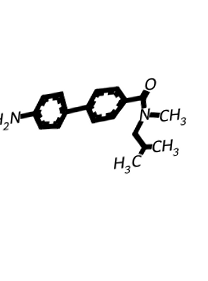 CC(C)CN(C)C(=O)c1ccc(-c2ccc(N)cc2)cc1